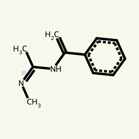 C=C(N/C(C)=N\C)c1ccccc1